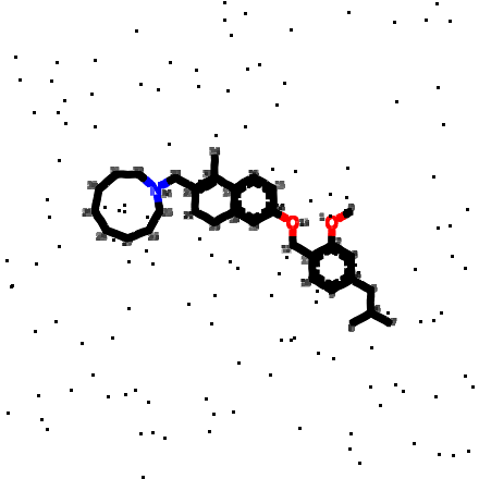 COc1cc(CC(C)C)ccc1COc1ccc2c(c1)CCC(CN1CCCCCCCC1)=C2C